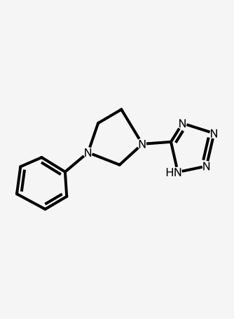 c1ccc(N2CCN(c3nnn[nH]3)C2)cc1